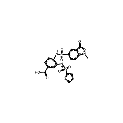 Cn1sc(=O)c2cc(S(=O)(=O)Nc3ccc(C(=O)O)cc3NS(=O)(=O)c3cccs3)ccc21